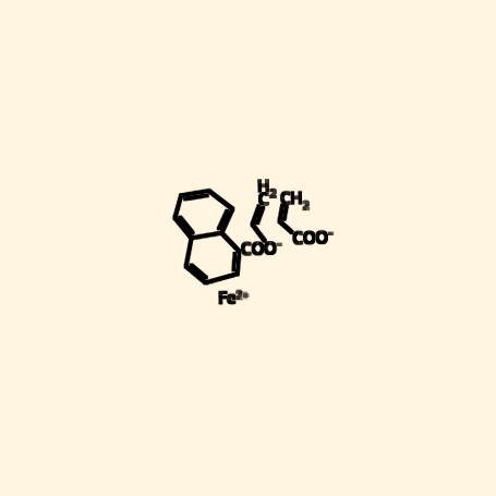 C=CC(=O)[O-].C=CC(=O)[O-].[Fe+2].c1ccc2ccccc2c1